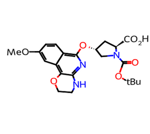 COc1ccc2c(O[C@@H]3C[C@@H](C(=O)O)N(C(=O)OC(C)(C)C)C3)nc3c(c2c1)OCCN3